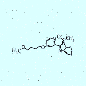 COCCCCOc1ccnc(-c2nc3ccccc3n2[S+](C)[O-])c1